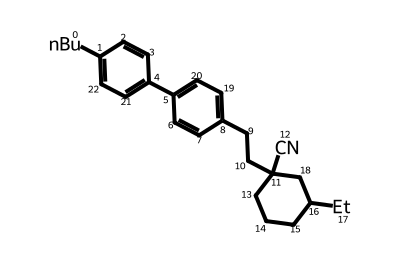 CCCCc1ccc(-c2ccc(CCC3(C#N)CCCC(CC)C3)cc2)cc1